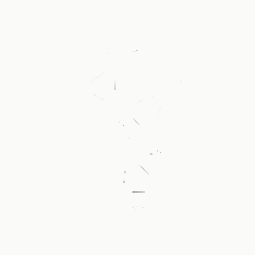 CC[C@@H](Oc1ccc(Cl)c(Cn2c(C)c(-c3noc4cc(OC)ccc34)c3ccc(OC(F)(F)F)cc32)c1)C(=O)O